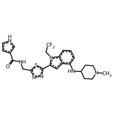 CN1CCC(Nc2cccc3c2cc(-c2nnc(CNC(=O)c4cc[nH]c4)s2)n3CC(F)(F)F)CC1